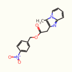 Cc1c(CC(=O)OCc2ccc([N+](=O)[O-])cc2)nc2ccccn12